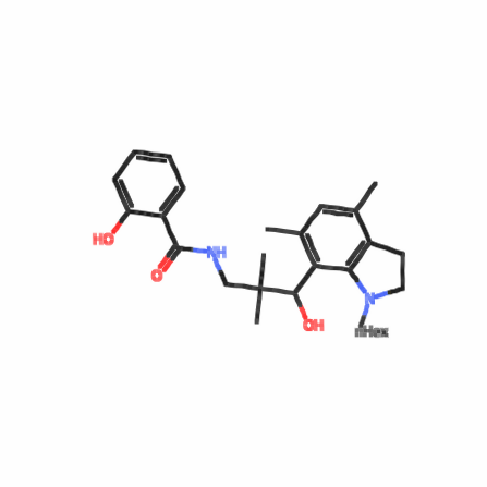 CCCCCCN1CCc2c(C)cc(C)c(C(O)C(C)(C)CNC(=O)c3ccccc3O)c21